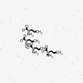 C=CCN(N)C(=O)[O-].C=CCN(N)C(=O)[O-].C=CCN(N)C(=O)[O-].C=CCN(N)C(=O)[O-].[C+4]